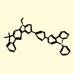 CCn1c2ccc(-c3ccc(-c4ccc5c(c4)c4ccccc4n5-c4ccccc4)cc3)cc2c2cc3c(cc21)C(C)(C)c1ccccc1-3